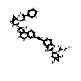 CC(C)(C)OC(=O)N1[C@@H]2C[C@@H]2C[C@H]1c1nc2ccc(C#Cc3ccc4c(c3)CCc3nc([C@@H]5C[C@H]6C[C@H]6N5CC(=O)c5ccccc5)[nH]c3-4)cc2[nH]1